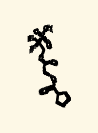 O=C(COC(=O)C1CCCC1)OCC(F)(F)S(=O)(=O)O